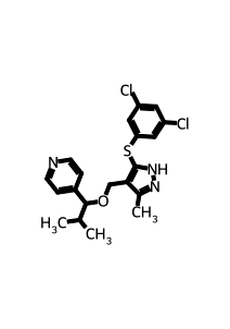 Cc1n[nH]c(Sc2cc(Cl)cc(Cl)c2)c1COC(c1ccncc1)C(C)C